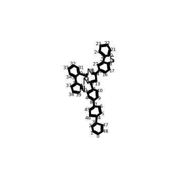 c1ccc(-c2ccc(-c3ccc(-c4cc(-c5ccc6sc7ccccc7c6c5)nc(-c5ccccc5-c5cccnc5)n4)cc3)cc2)cc1